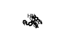 CCOCc1cc2c(c(-c3cc4cc(CN5CCCCC5)ccc4n3C(=O)OC(C)(C)C)c1)C(=O)NC2